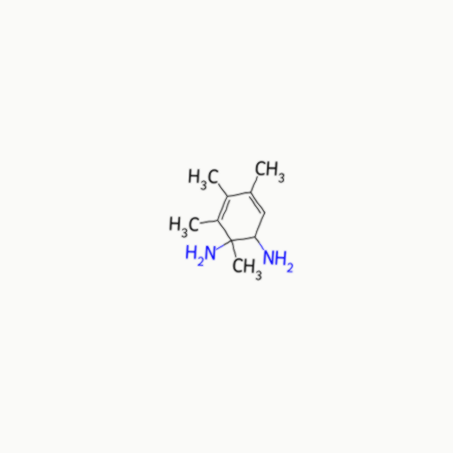 CC1=CC(N)C(C)(N)C(C)=C1C